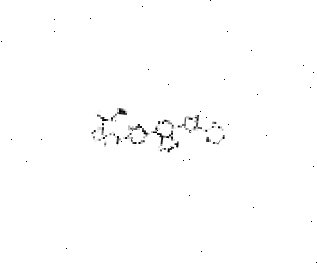 CC(C)(C)OC(=O)N1CCC12CCN(c1ccc(-c3ccc(-c4cnn(C5CCCCO5)c4)c4ncsc34)nn1)C2